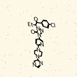 CCC(C(=O)c1ccc(Cl)cc1)n1ncn(-c2ccc(N3CCN(c4cnccn4)CC3)nc2)c1=O